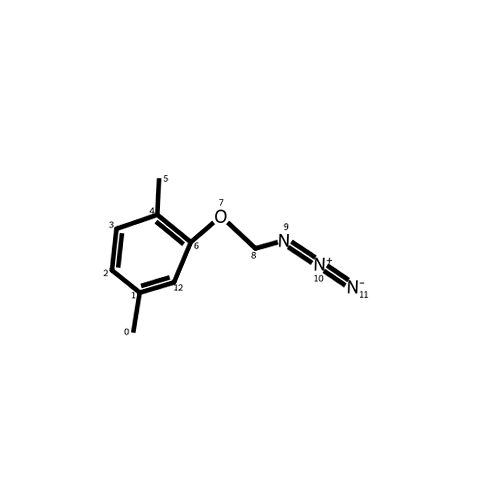 Cc1ccc(C)c(OCN=[N+]=[N-])c1